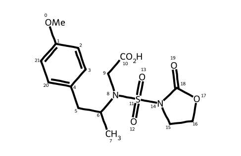 COc1ccc(CC(C)N(CC(=O)O)S(=O)(=O)N2CCOC2=O)cc1